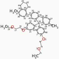 CCOCCOc1ccc(C2(c3ccc(OCCOCC)cc3)c3cc(C)ccc3-c3ccc(-c4ccc(C)c5c4CCCC5)cc32)cc1